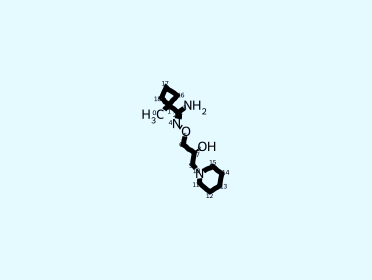 CC1(C(N)=NOC[C@H](O)CN2CCCCC2)CCC1